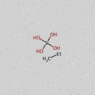 CCC.O[Si](O)(O)O